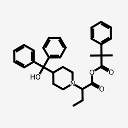 CCC(C(=O)OC(=O)C(C)(C)c1ccccc1)N1CCC(C(O)(c2ccccc2)c2ccccc2)CC1